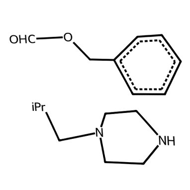 CC(C)CN1CCNCC1.O=COCc1ccccc1